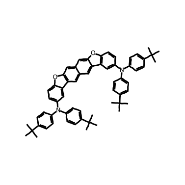 CC(C)(C)c1ccc(N(c2ccc(C(C)(C)C)cc2)c2ccc3oc4cc5cc6oc7ccc(N(c8ccc(C(C)(C)C)cc8)c8ccc(C(C)(C)C)cc8)cc7c6cc5cc4c3c2)cc1